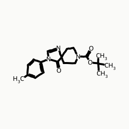 Cc1ccc(N2C=NC3(CCN(C(=O)OC(C)(C)C)CC3)C2=O)cc1